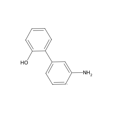 Nc1[c]ccc(-c2ccccc2O)c1